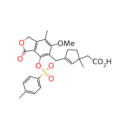 COc1c(C)c2c(c(OS(=O)(=O)c3ccc(C)cc3)c1CC1=CC(C)(CC(=O)O)CC1)C(=O)OC2